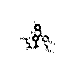 COCC[C@H]1CN(C2=Nc3ccc(F)cc3Nc3ccc(C4CC4)cc32)CCN1C.O=C(O)CCC(=O)O